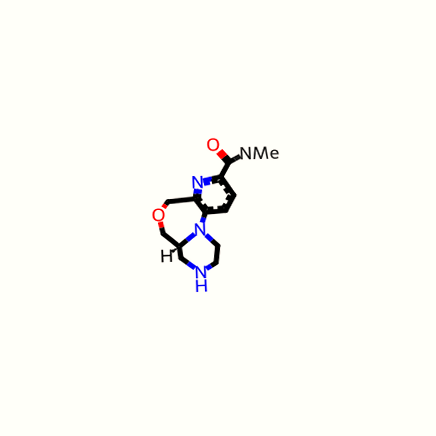 CNC(=O)c1ccc2c(n1)COC[C@@H]1CNCCN21